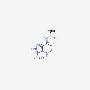 CCOC(=O)c1[nH]nc2c1NCC/C2=N\[S@+]([O-])C(C)(C)C